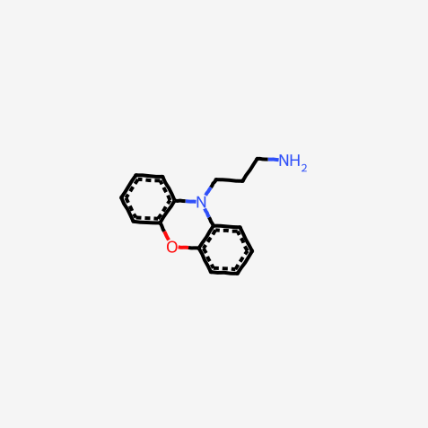 NCCCN1c2ccccc2Oc2ccccc21